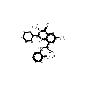 Cc1cc(C(C)Nc2ccccc2C(=O)O)c2nc(C3CCCCC3)n(C)c(=O)c2c1